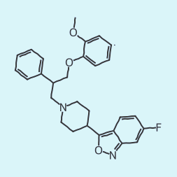 COc1c[c]ccc1OCC(CN1CCC(c2onc3cc(F)ccc23)CC1)c1ccccc1